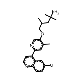 Cc1cc(-c2ccnc3ccc(Cl)cc23)ncc1OCC(C)CC(C)(C)N